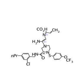 C=C/C(=N\C=C(/N)N1CCN(Sc2ccc(OC(F)(F)F)cc2)[C@@H](C(=O)NCc2ccc(CCC)cc2Cl)C1)C(=O)O